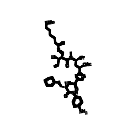 C=C[C@@H](CC)C(/C=N/C(=O)CCCCCNC)C(=O)N(C)[C@H](C[C@@H](OC(C)=O)c1nc(C(=O)N[C@@H](CSc2ccccc2)C(=O)Nc2ccc(N)cc2)cs1)C(C)C